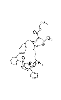 CCCCN1N=C(C)C(C(=O)OCC)=S1Cc1ccc(-c2ccccc2S(=O)(=O)NS(=O)(=O)c2cccs2)cc1